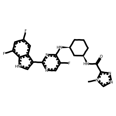 Cn1cnnc1C(=O)N[C@@H]1CCC[C@H](Nc2nc(-c3c[nH]c4c(F)cc(F)cc34)ncc2F)C1